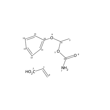 C=CC(=O)O.CC(OC(N)=O)Oc1ccccc1